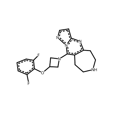 Fc1cccc(F)c1OC1CN(c2c3c(nc4ccnn24)CCNCC3)C1